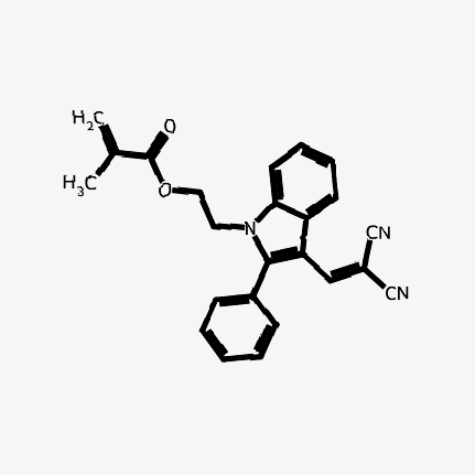 C=C(C)C(=O)OCCn1c(-c2ccccc2)c(C=C(C#N)C#N)c2ccccc21